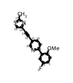 COc1ccc(F)cc1-c1ccc(C#Cc2csc(C)n2)cn1